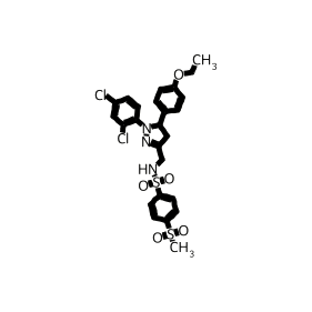 CCOc1ccc(C2CC(CNS(=O)(=O)c3ccc(S(C)(=O)=O)cc3)=NN2c2ccc(Cl)cc2Cl)cc1